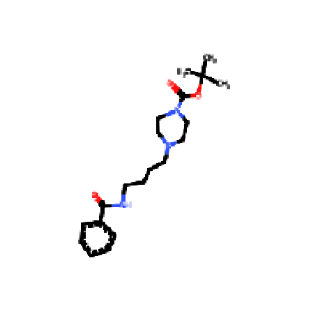 CC(C)(C)OC(=O)N1CCN(CCCCNC(=O)c2ccccc2)CC1